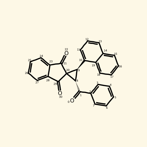 O=C(c1ccccc1)[C@H]1[C@H](c2cccc3ccccc23)C12C(=O)c1ccccc1C2=O